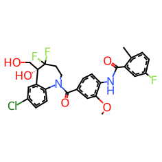 COc1cc(C(=O)N2CCC(F)(F)[C@](O)(CO)c3cc(Cl)ccc32)ccc1NC(=O)c1cc(F)ccc1C